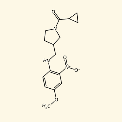 COc1ccc(NCC2CCN(C(=O)C3CC3)C2)c([N+](=O)[O-])c1